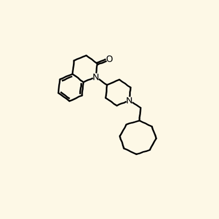 O=C1CCc2ccccc2N1C1CCN(CC2CCCCCCC2)CC1